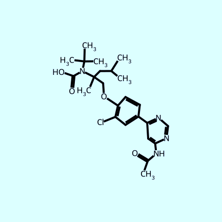 CC(=O)Nc1cc(-c2ccc(OCC(C)(CC(C)C)N(C(=O)O)C(C)(C)C)c(Cl)c2)ncn1